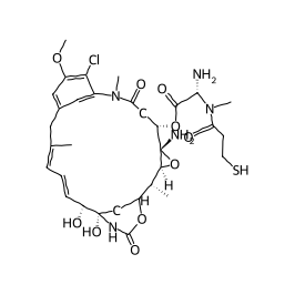 COc1cc2cc(c1Cl)N(C)C(=O)C[C@H](OC(=O)[C@H](N)N(C)C(=O)CCS)[C@]1(N)O[C@H]1[C@H](C)[C@@H]1C[C@@](O)(NC(=O)O1)[C@H](O)/C=C/C=C(\C)C2